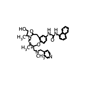 CC(CO)N1C[C@@H](C)[C@H](CN(C)Cc2ccncc2)Oc2ccc(NC(=O)Nc3cccc4ccccc34)cc2CC1=O